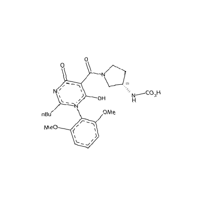 CCCCc1nc(=O)c(C(=O)N2CC[C@H](NC(=O)O)C2)c(O)n1-c1c(OC)cccc1OC